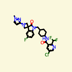 Cn1ccc(N2CC3(C2)C(=O)N(CC2CCC(NC(=O)c4cc(Cl)cnc4C(F)F)CC2)c2ccc(F)cc23)n1